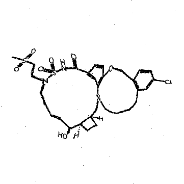 CS(=O)(=O)CCN1CC/C=C/C(O)[C@@H]2CC[C@H]2CN2CCCCc3cc(Cl)ccc3COc3ccc(cc32)C(=O)NS1(=O)=O